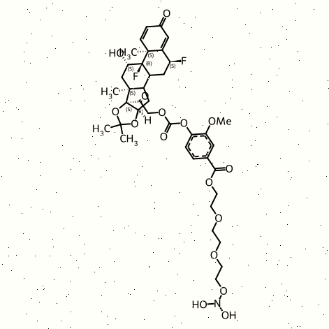 COc1cc(C(=O)OCCOCCOCCON(O)O)ccc1OC(=O)OCC(=O)[C@@]12OC(C)(C)O[C@@H]1CC1C3C[C@H](F)C4=CC(=O)C=C[C@]4(C)[C@@]3(F)[C@@H](O)C[C@@]12C